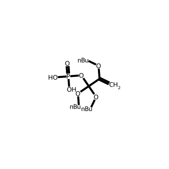 C=C(OCCCC)C(OCCCC)(OCCCC)OP(=O)(O)O